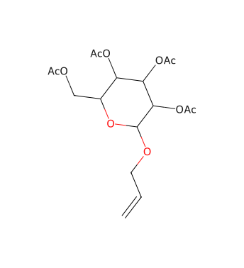 C=CCOC1OC(COC(C)=O)C(OC(C)=O)C(OC(C)=O)C1OC(C)=O